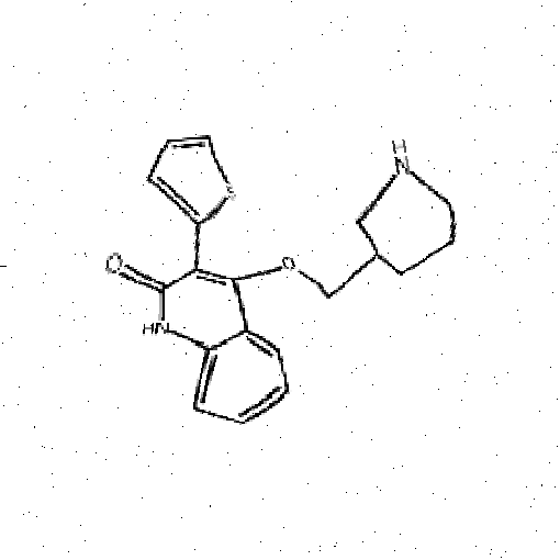 O=c1[nH]c2ccccc2c(OCC2CCCNC2)c1-c1cccs1